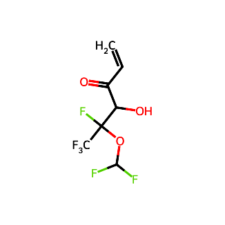 C=CC(=O)C(O)C(F)(OC(F)F)C(F)(F)F